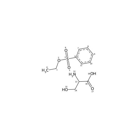 CCOS(=O)(=O)c1ccccc1.NC(CO)C(=O)O